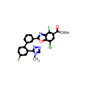 COC(=O)c1cc(Br)c2oc(-c3cccc(-c4ccc(F)cc4-c4nncn4C)c3)nc2c1F